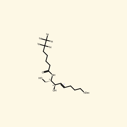 [2H]C([2H])([2H])C([2H])([2H])CCCCC(=O)N[C@@H](CO)[C@H](O)/C=C/CCCCCCCCCCCCC